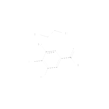 O=C(O)c1cc(O)c(O)c(O)c1.OCCO